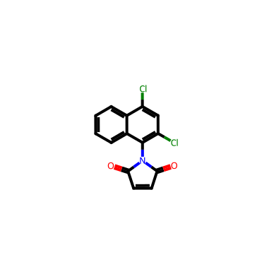 O=C1C=CC(=O)N1c1c(Cl)cc(Cl)c2ccccc12